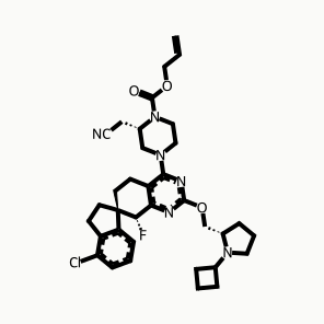 C=CCOC(=O)N1CCN(c2nc(OC[C@@H]3CCCN3C3CCC3)nc3c2CC[C@@]2(CCc4c(Cl)cccc42)[C@H]3F)C[C@@H]1CC#N